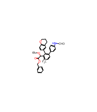 CC(C)(C)OC(C(=O)OCc1ccccc1)c1c(C(F)(F)F)ccc(-c2ccc(NC=O)cc2)c1-c1ccc2c(c1)CCCO2